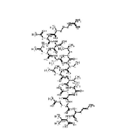 CSCC[C@H](NC(=O)[C@H](CCC(N)=O)NC(=O)[C@H](CC(=O)O)NC(=O)[C@H](C)NC(=O)[C@@H](NC(=O)[C@H](CC(C)C)NC(=O)[C@H](CO)NC(=O)[C@H](CC(C)C)NC(=O)[C@H](C)NC(=O)[C@H](CC(C)C)NC(=O)[C@H](CO)NC(=O)[C@H](CC(N)=O)NC(=O)[C@@H](N)CCCNC(=N)N)[C@@H](C)O)C(=O)N[C@H](C(=O)O)C(C)C